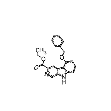 CCOC(=O)c1cc2c(cn1)[nH]c1cccc(OCc3ccccc3)c12